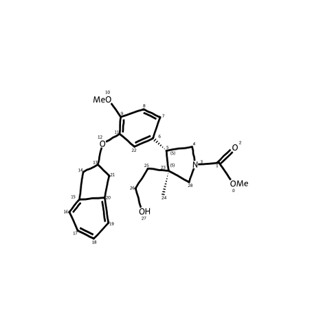 COC(=O)N1C[C@@H](c2ccc(OC)c(OC3Cc4ccccc4C3)c2)[C@](C)(CCO)C1